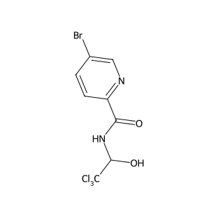 O=C(NC(O)C(Cl)(Cl)Cl)c1ccc(Br)cn1